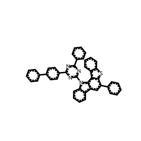 c1ccc(-c2ccc(-c3nc(-c4ccccc4)nc(-n4c5ccccc5c5cc(-c6ccccc6)c6sc7ccccc7c6c54)n3)cc2)cc1